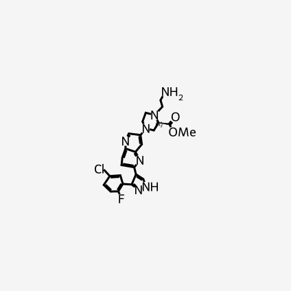 COC(=O)[C@H]1CN(c2cnc3ccc(-c4c[nH]nc4-c4cc(Cl)ccc4F)nc3c2)CCN1CCN